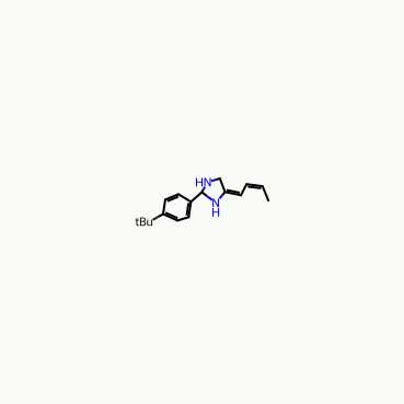 C/C=C\C=C1/CNC(c2ccc(C(C)(C)C)cc2)N1